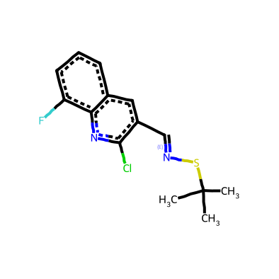 CC(C)(C)S/N=C/c1cc2cccc(F)c2nc1Cl